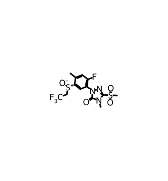 Cc1cc(F)c(-n2nc(S(C)(=O)=O)n(C)c2=O)cc1[S+]([O-])CC(F)(F)F